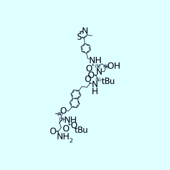 Cc1ncsc1-c1ccc(CNC(=O)[C@@H]2C[C@@H](O)CN2C(=O)[C@@H](NC(=O)CCc2ccc3cc(CO[C@H](C)[C@H](CCC(N)=O)NC(=O)OC(C)(C)C)ccc3c2)C(C)(C)C)cc1